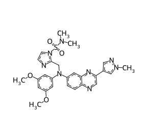 COc1cc(OC)cc(N(Cc2nccn2S(=O)(=O)N(C)C)c2ccc3ncc(-c4cnn(C)c4)nc3c2)c1